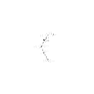 CSC(C)(C)NCCC(=O)NCCOC(C)(OCCNC(=O)CCCCCNC(C)(C)C)C(C)(C)C